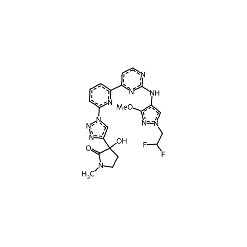 COc1nn(CC(F)F)cc1Nc1nccc(-c2cccc(-n3cc(C4(O)CCN(C)C4=O)nn3)n2)n1